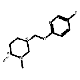 C[C@@H]1CC[C@@H](COc2ccc(F)cn2)CN1C